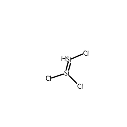 Cl[SiH]=[Si](Cl)Cl